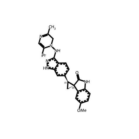 COc1ccc2c(c1)[C@]1(C[C@H]1c1ccc3c(NN4CC(C)=NC=C4C(C)C)n[nH]c3c1)C(=O)N2